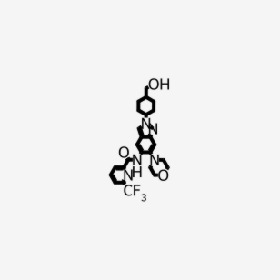 O=C(Nc1cc2cn(C3CCC(CO)CC3)nc2cc1N1CCOCC1)c1cccc(C(F)(F)F)n1